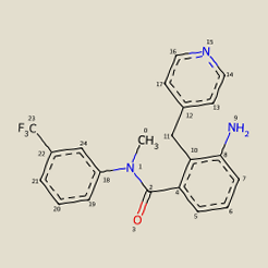 CN(C(=O)c1cccc(N)c1Cc1ccncc1)c1cccc(C(F)(F)F)c1